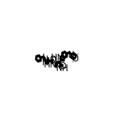 C[C@@H]1CN(Cc2ccc3[nH]c(-c4cc(NC(=O)c5cnn([C@H](C)C6=CCCC=C6)c5)c[nH]c4=O)cc3c2)C[C@H](C)O1